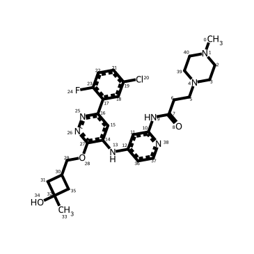 CN1CCN(CCC(=O)Nc2cc(Nc3cc(-c4cc(Cl)ccc4F)nnc3OCC3CC(C)(O)C3)ccn2)CC1